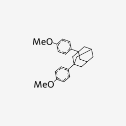 COc1ccc(C23CC4CC(C2)CC(c2ccc(OC)cc2)(C4)C3)cc1